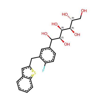 OC[C@@H](O)[C@@H](O)[C@H](O)[C@@H](O)C(O)c1ccc(F)c(Cc2cc3ccccc3s2)c1